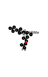 COc1ccccc1Sc1ccc(NC(=O)[C@@](C)(O)C(F)(F)F)c(Cl)c1.[Pd].c1ccc(P(c2ccccc2)c2ccccc2)cc1.c1ccc(P(c2ccccc2)c2ccccc2)cc1.c1ccc(P(c2ccccc2)c2ccccc2)cc1.c1ccc(P(c2ccccc2)c2ccccc2)cc1